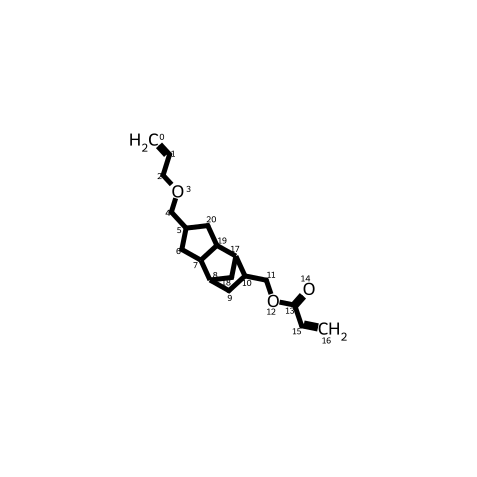 C=CCOCC1CC2C3CC(COC(=O)C=C)C(C3)C2C1